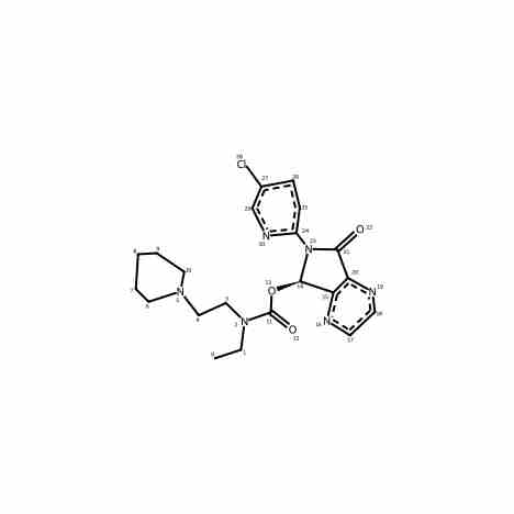 CCN(CCN1CCCCC1)C(=O)O[C@@H]1c2nccnc2C(=O)N1c1ccc(Cl)cn1